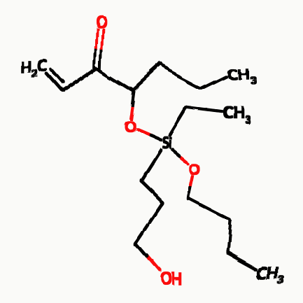 C=CC(=O)C(CCC)O[Si](CC)(CCCO)OCCCC